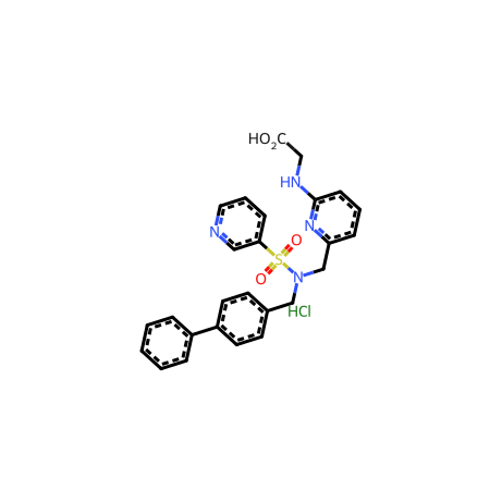 Cl.O=C(O)CNc1cccc(CN(Cc2ccc(-c3ccccc3)cc2)S(=O)(=O)c2cccnc2)n1